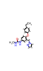 CCc1ccc(Oc2ccc(NC(=O)NC)cc2Cn2cccn2)cc1